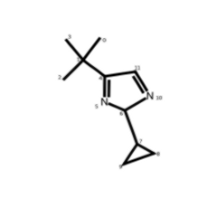 CC(C)(C)C1=NC(C2CC2)N=C1